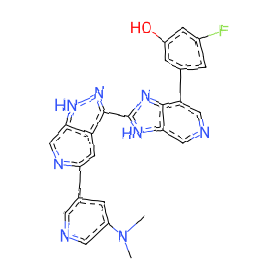 CN(C)c1cncc(-c2cc3c(-c4nc5c(-c6cc(O)cc(F)c6)cncc5[nH]4)n[nH]c3cn2)c1